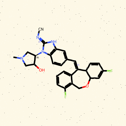 CN1CC(O)[C@H](n2/c(=N/C#N)[nH]c3cc(/C=C4\c5cccc(F)c5COC5C=C(F)C=CC45)ccc32)C1